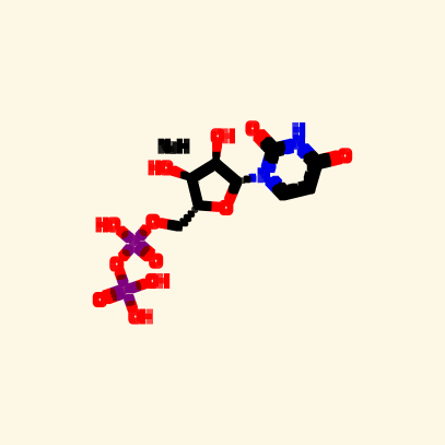 O=c1ccn([C@@H]2O[C@H](COP(=O)(O)OP(=O)(O)O)[C@@H](O)[C@H]2O)c(=O)[nH]1.[NaH]